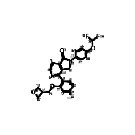 O=C1c2ccnc(-c3ccc(F)cc3OCC3COC3)c2CN1c1ccc(OC(F)F)cc1